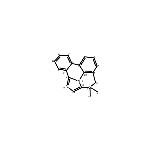 CS1(C)Cc2cccc3c4ccccc4c4ncc1n4c23